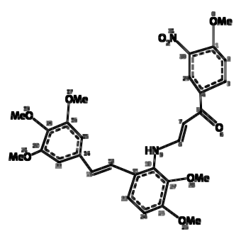 COc1ccc(C(=O)C=CNc2c(C=Cc3cc(OC)c(OC)c(OC)c3)ccc(OC)c2OC)cc1[N+](=O)[O-]